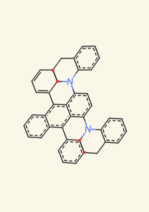 C1=CCCC(c2c3ccccc3c(-c3ccccc3)c3c(N4CCCc5ccccc54)ccc(N4CCCc5ccccc54)c23)=C1